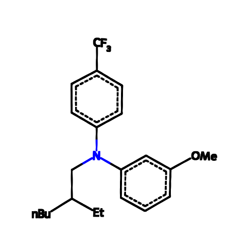 CCCCC(CC)CN(c1ccc(C(F)(F)F)cc1)c1cccc(OC)c1